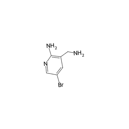 NCc1cc(Br)cnc1N